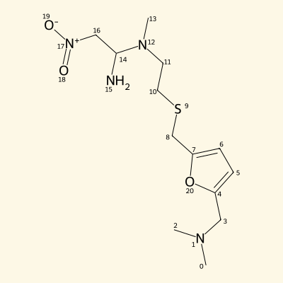 CN(C)Cc1ccc(CSCCN(C)C(N)C[N+](=O)[O-])o1